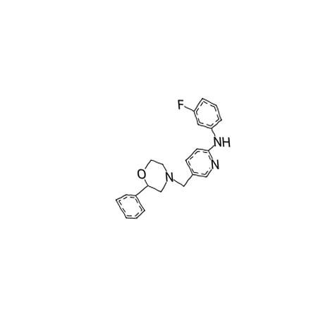 Fc1cccc(Nc2ccc(CN3CCOC(c4ccccc4)C3)cn2)c1